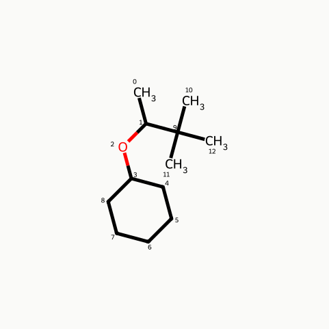 CC(OC1CCCCC1)C(C)(C)C